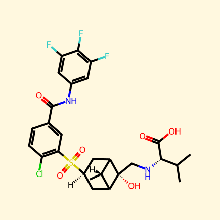 CC(C)[C@H](NC[C@]1(O)C2C[C@H](S(=O)(=O)c3cc(C(=O)Nc4cc(F)c(F)c(F)c4)ccc3Cl)CC1[C@@H]2C)C(=O)O